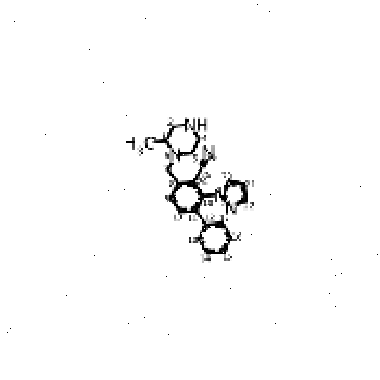 CC1CNCCN1Cc1ccc(-c2ccccc2)c(-n2cccn2)c1C#N